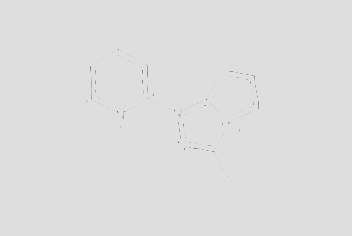 Cc1nn(-c2ccccn2)c2s[c]cc12